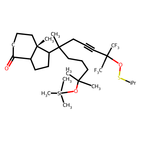 CC(C)SOC(C#CCC(C)(CCCC(C)(C)O[Si](C)(C)C)C1CCC2C(=O)CCC[C@@]21C)(C(F)(F)F)C(F)(F)F